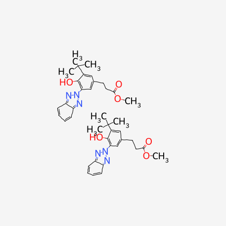 COC(=O)CCc1cc(-n2nc3ccccc3n2)c(O)c(C(C)(C)C)c1.COC(=O)CCc1cc(-n2nc3ccccc3n2)c(O)c(C(C)(C)C)c1